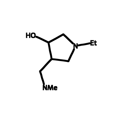 CCN1CC(O)C(CNC)C1